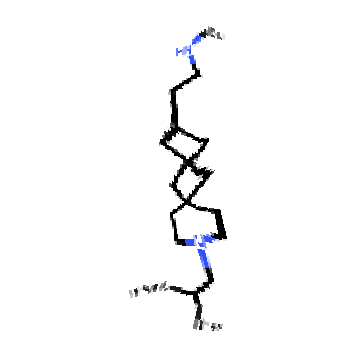 CCCCCCC(CCCCC)CN1CCC2(CC1)CC1(CC(CCNC(C)CC)C1)C2